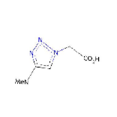 CNc1cn(CC(=O)O)nn1